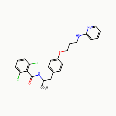 O=C(N[C@@H](Cc1ccc(OCCCNc2ccccn2)cc1)C(=O)O)c1c(Cl)cccc1Cl